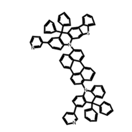 c1ccc(C2(c3ccccc3)c3ccccc3N(c3ccc4c5cccc6c(N7c8ccc(-c9cccnc9)cc8C(c8ccccc8)(c8ccccc8)c8cc9c(cc87)sc7ccccc79)ccc(c7cccc3c47)c65)c3ccc(-c4cccnc4)cc32)cc1